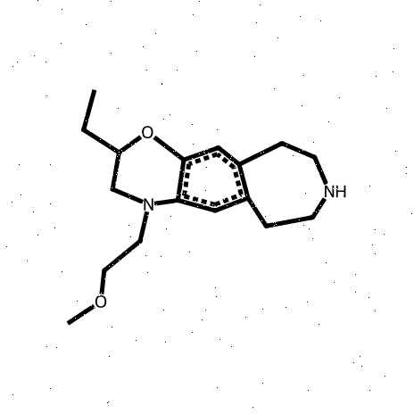 CCC1CN(CCOC)c2cc3c(cc2O1)CCNCC3